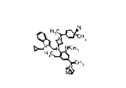 C=Nc1cc(C(=C)N2CC3C4C2N34)cc(CC)c1N(Cc1cc2ccccc2n1CC1CC1)C1CN(C(=C)C2=CCC(C)(C#N)C=C2)C1